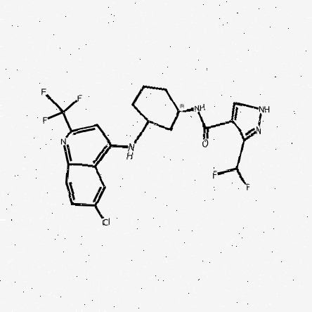 O=C(N[C@@H]1CCCC(Nc2cc(C(F)(F)F)nc3ccc(Cl)cc23)C1)c1c[nH]nc1C(F)F